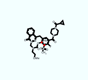 CCCCCCC(CS(C)(=O)=O)OC(=O)N(CCOC)Cn1nc(Cc2ccc(F)c(C(=O)N3CCN(C(=O)C4CC4)CC3)c2)c2ccccc2c1=O